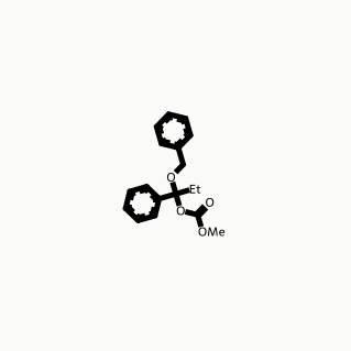 CCC(OCc1ccccc1)(OC(=O)OC)c1ccccc1